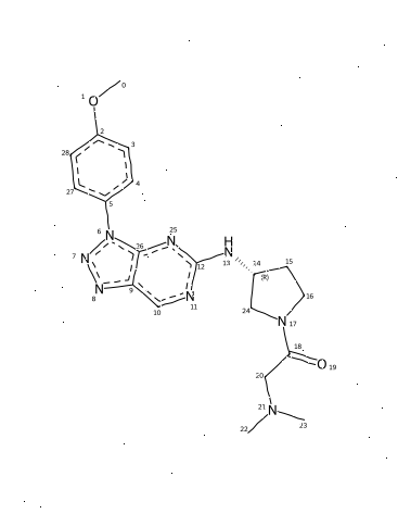 COc1ccc(-n2nnc3cnc(N[C@@H]4CCN(C(=O)CN(C)C)C4)nc32)cc1